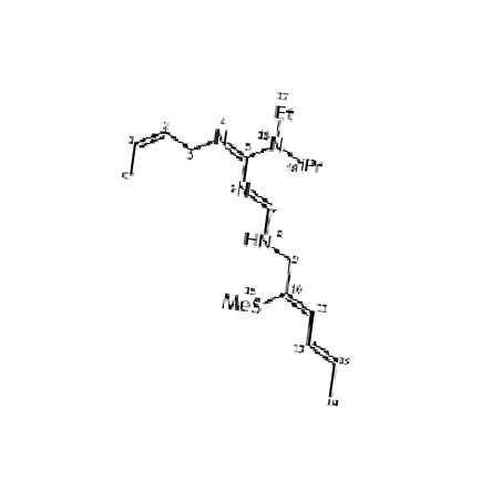 C/C=C\C/N=C(\N=C\NC/C(=C/C=C/C)SC)N(CC)C(C)C